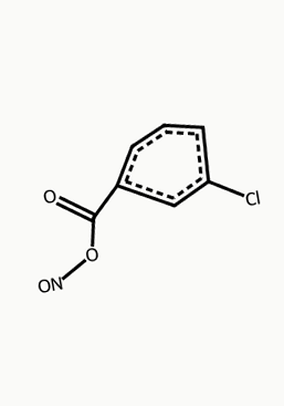 O=NOC(=O)c1cccc(Cl)c1